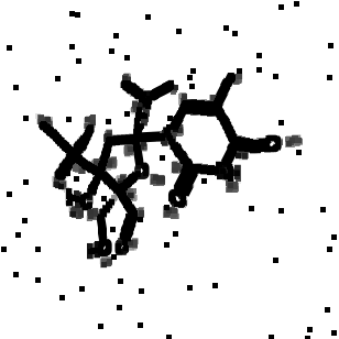 Cc1cn([C@@]2([SiH](C)C)C[C@@](O)(C(C)(C)C)[C@@](C=O)(CO)O2)c(=O)[nH]c1=O